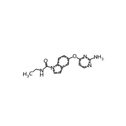 CCNC(=O)n1ccc2cc(Oc3ccnc(N)n3)ccc21